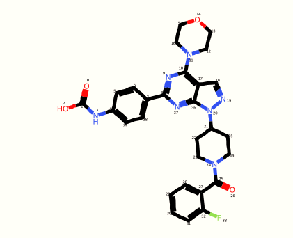 O=C(O)Nc1ccc(-c2nc(N3CCOCC3)c3cnn(C4CCN(C(=O)c5ccccc5F)CC4)c3n2)cc1